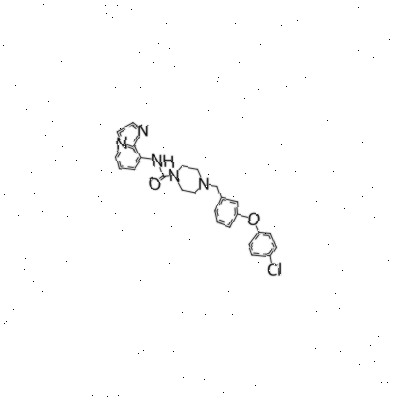 O=C(Nc1cccn2ccnc12)N1CCN(Cc2cccc(Oc3ccc(Cl)cc3)c2)CC1